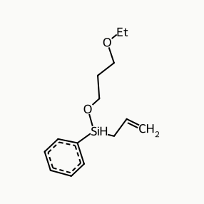 C=CC[SiH](OCCCOCC)c1ccccc1